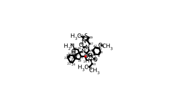 COc1ccc(S(=O)(=O)N(CC(C)C)C[C@H](O)[C@@H](Cc2ccccc2)C(CC(N)=O)(C(N)=O)N2CCN(Cc3csc(C)n3)C2=O)cc1